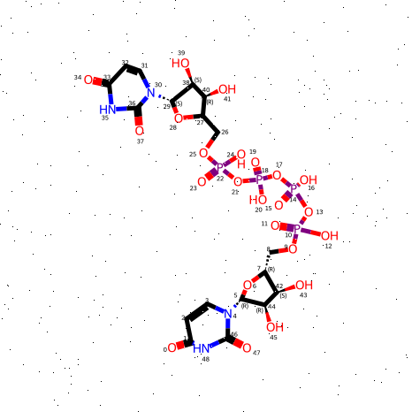 O=c1ccn([C@@H]2O[C@H](COP(=O)(O)OP(=O)(O)OP(=O)(O)OP(=O)(O)OCC3O[C@H](n4ccc(=O)[nH]c4=O)[C@@H](O)[C@H]3O)[C@@H](O)[C@H]2O)c(=O)[nH]1